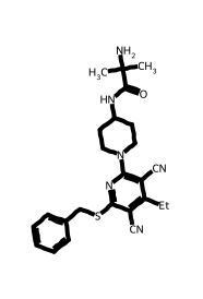 CCc1c(C#N)c(SCc2ccccc2)nc(N2CCC(NC(=O)C(C)(C)N)CC2)c1C#N